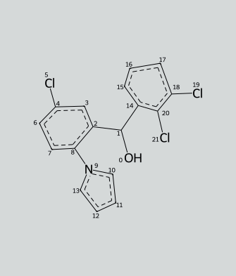 OC(c1cc(Cl)ccc1-n1cccc1)c1cccc(Cl)c1Cl